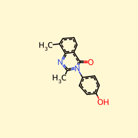 Cc1cccc2c(=O)n(-c3ccc(O)cc3)c(C)nc12